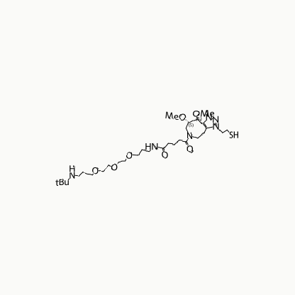 CO[C@H]1CN(C(=O)CCCC(=O)NCCCOCCOCCOCCCNC(C)(C)C)CCc2c(nnn2CCS)[C@@H]1OC